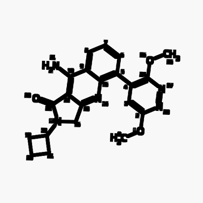 COc1cc(-c2cccc3c(N)c4c(nc23)CN(C2CCC2)C4=O)c(OC)nn1